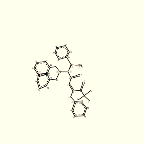 CC(C)(C)C(=O)C(=CC(=O)[C@H](C(N)c1ccccc1)N(Cc1ccccc1)Cc1ccccc1)Cc1ccccc1